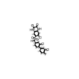 O=c1[nH]c2cc(Cl)c(S(=O)(=O)Nc3ccc(-c4ccc(F)c(Cl)c4)c(Cl)c3)cc2[nH]c1=O